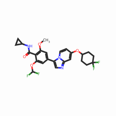 COc1cc(-c2cnc3cc(OC4CCC(F)(F)CC4)ccn23)cc(OC(F)F)c1C(=O)NC1CC1